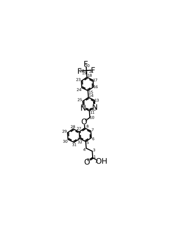 O=C(O)CCc1ccc(OCc2ncc(-c3ccc(C(F)(F)F)cc3)cn2)c2ccccc12